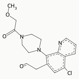 COCC(=O)N1CCN(c2c(CC=O)cc(Cl)c3cccnc23)CC1